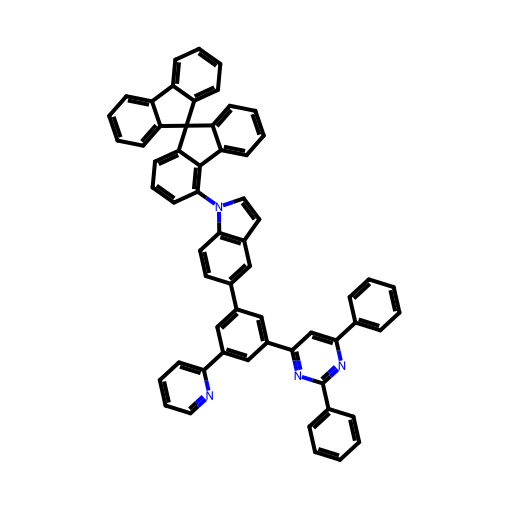 c1ccc(-c2cc(-c3cc(-c4ccc5c(ccn5-c5cccc6c5-c5ccccc5C65c6ccccc6-c6ccccc65)c4)cc(-c4ccccn4)c3)nc(-c3ccccc3)n2)cc1